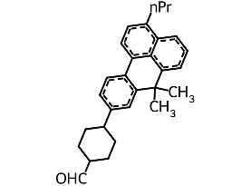 CCCc1ccc2c3c(cccc13)C(C)(C)c1cc(C3CCC(C=O)CC3)ccc1-2